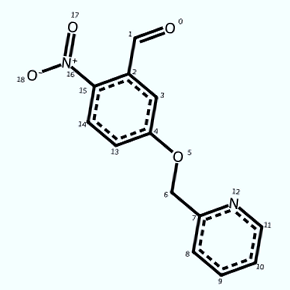 O=Cc1cc(OCc2ccccn2)ccc1[N+](=O)[O-]